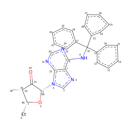 CC[C@H]1O[C@@H](n2cnc3c(NC(c4ccccc4)(c4ccccc4)c4ccccc4)ncnc32)C(=O)[C@H]1C